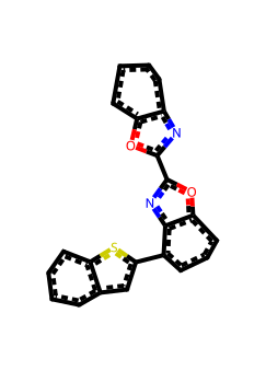 c1ccc2sc(-c3cccc4oc(-c5nc6ccccc6o5)nc34)cc2c1